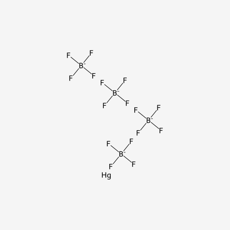 F[B-](F)(F)F.F[B-](F)(F)F.F[B-](F)(F)F.F[B-](F)(F)F.[Hg]